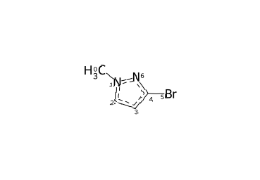 Cn1[c]cc(Br)n1